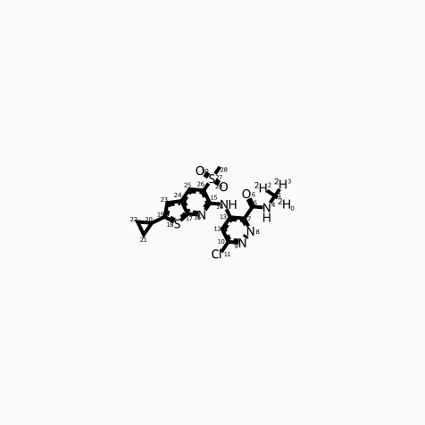 [2H]C([2H])([2H])NC(=O)c1nnc(Cl)cc1Nc1nc2sc(C3CC3)cc2cc1S(C)(=O)=O